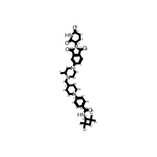 CC1CN(c2ccc3c(c2)C(=O)N(C2CCC(=O)NC2=O)C3=O)CCN1CC1CCN(c2ccc(C(=O)NC3C(C)(C)CC3(C)C)cc2)CC1